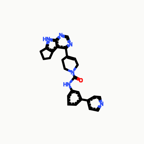 O=C(Nc1cccc(-c2ccncc2)c1)N1CC=C(c2ncnc3[nH]c4c(c23)CCC4)CC1